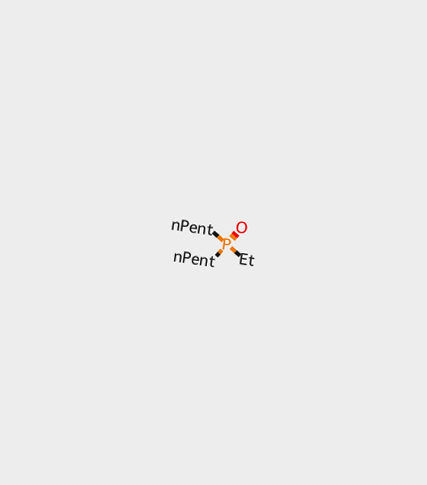 CCCCCP(=O)(CC)CCCCC